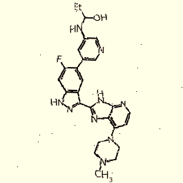 CCC(O)Nc1cncc(-c2cc3c(-c4nc5c(N6CCN(C)CC6)ccnc5[nH]4)n[nH]c3cc2F)c1